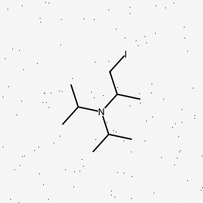 CC(C)N(C(C)C)C(C)CI